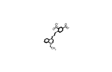 CCN1C=CC(=CC=Cc2ccc([N+](=O)[O-])cc2[N+](=O)[O-])c2ccccc21